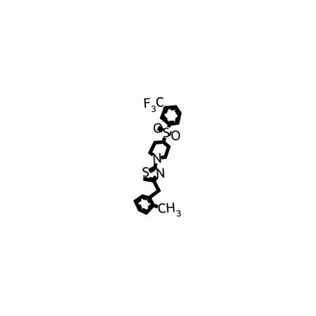 Cc1ccccc1Cc1csc(N2CCC(S(=O)(=O)c3cccc(C(F)(F)F)c3)CC2)n1